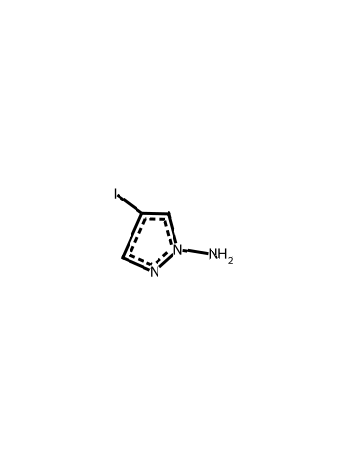 Nn1cc(I)cn1